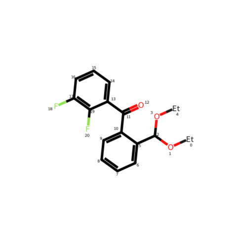 CCOC(OCC)c1ccccc1C(=O)c1cccc(F)c1F